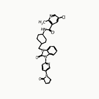 Cc1ncc(Cl)cc1C(=O)NC1CCC(Cn2c(=O)n(-c3ccc(N4CCCC4=O)cn3)c3ccccc32)CC1